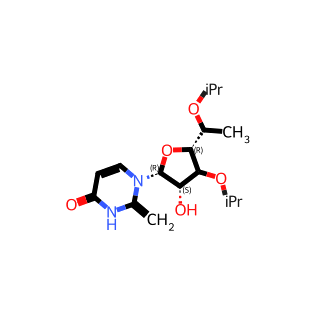 C=C1NC(=O)C=CN1[C@@H]1O[C@H](C(C)OC(C)C)C(OC(C)C)[C@@H]1O